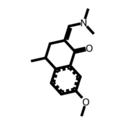 COc1ccc2c(c1)C(=O)C(=CN(C)C)CC2C